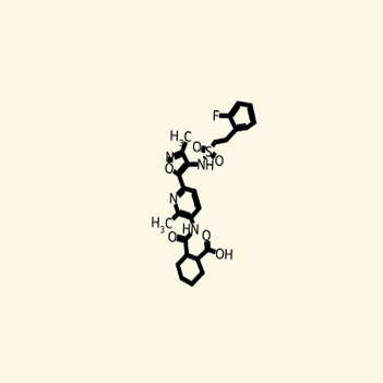 Cc1nc(-c2onc(C)c2NS(=O)(=O)CCc2ccccc2F)ccc1NC(=O)C1CCCCC1C(=O)O